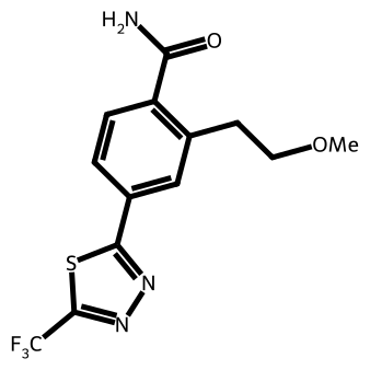 COCCc1cc(-c2nnc(C(F)(F)F)s2)ccc1C(N)=O